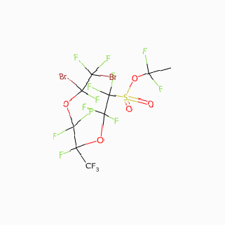 CC(F)(F)OS(=O)(=O)C(F)(F)C(F)(F)OC(F)(C(F)(F)F)C(F)(F)OC(F)(Br)C(F)(F)Br